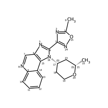 Cc1nc(-c2nc3cnc4ccccc4c3n2[C@H]2CCO[C@@H](C)C2)no1